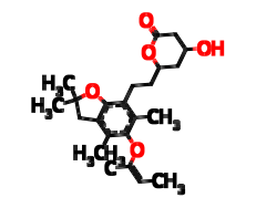 C/C=C(/C)Oc1c(C)c(CCC2CC(O)CC(=O)O2)c2c(c1C)CC(C)(C)O2